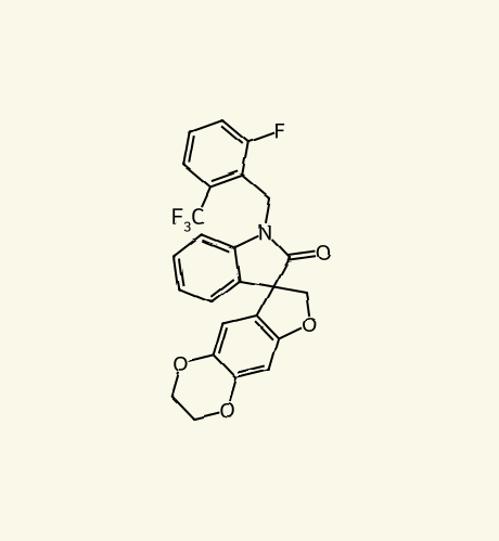 O=C1N(Cc2c(F)cccc2C(F)(F)F)c2ccccc2C12COc1cc3c(cc12)OCCO3